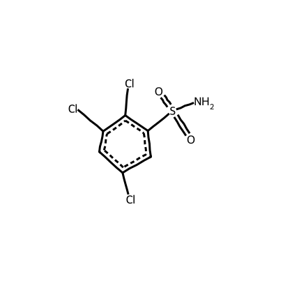 NS(=O)(=O)c1cc(Cl)cc(Cl)c1Cl